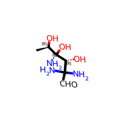 C[C@@H](O)[C@@](N)(O)[C@H](O)C(N)(N)C=O